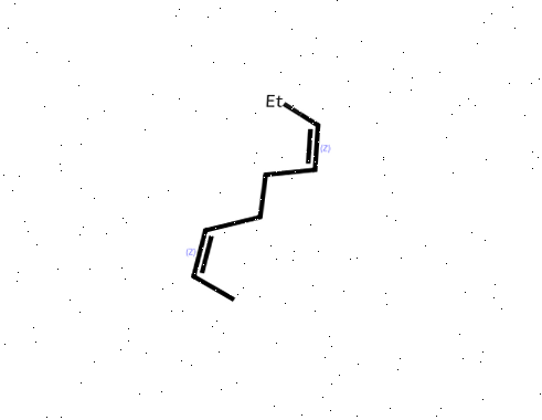 C/C=C\CC/C=C\CC